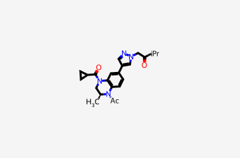 CC(=O)N1c2ccc(-c3cnn(CC(=O)C(C)C)c3)cc2N(C(=O)C2CC2)C[C@@H]1C